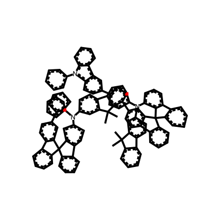 CC1(C)c2ccccc2-c2ccc(N(c3ccc(-c4ccc5c(c4)c4ccccc4n5-c4ccccc4)cc3)c3cccc4c3C3(c5ccccc5-c5ccc(-c6cccc7c6C(C)(C)c6cc(N(c8ccccc8)c8ccc9c(c8)C8(c%10ccccc%10-c%10ccc(-c%11ccccc%11)cc%108)c8ccccc8-9)ccc6-7)cc53)c3ccccc3-4)cc21